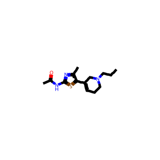 CCCN1CCC=C(c2sc(NC(C)=O)nc2C)C1